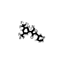 NC1=C(c2cc(C(F)(F)F)cc(C(F)(F)F)c2)C(=O)C(c2cccnc2)O1